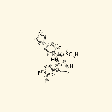 CS(=O)(=O)O.Cn1ccc(-c2ccc(C(=O)N[C@@H]3CNCC[C@H]3c3ccc(F)c(F)c3)c(F)c2)n1